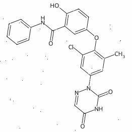 Cc1cc(-n2ncc(=O)[nH]c2=O)cc(Cl)c1Oc1ccc(O)c(C(=O)Nc2ccccc2)c1